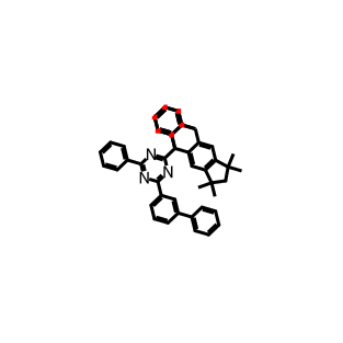 CC1(C)CC(C)(C)c2cc3c(cc21)C1c2ccccc2C3(c2nc(-c3ccccc3)nc(-c3cccc(-c4ccccc4)c3)n2)c2ccccc21